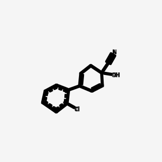 N#CC1(O)C=CC(c2ccccc2Cl)=CC1